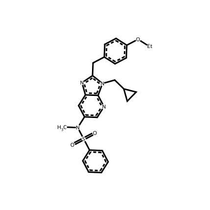 CCOc1ccc(Cc2nc3cc(N(C)S(=O)(=O)c4ccccc4)cnc3n2CC2CC2)cc1